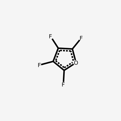 Fc1oc(F)c(F)c1F